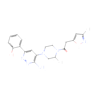 Cc1cc(CC(=O)N2CCN(c3cc(-c4ccccc4O)nnc3N)CC2C)on1